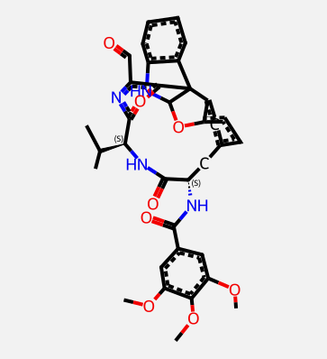 COc1cc(C(=O)N[C@H]2Cc3ccc4c(c3)C3(c5ccccc5NC3O4)c3oc(nc3C=O)[C@H](C(C)C)NC2=O)cc(OC)c1OC